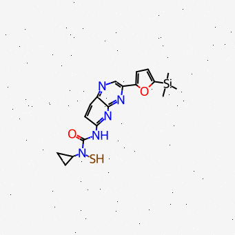 C[Si](C)(C)c1ccc(-c2cnc3ccc(NC(=O)N(S)C4CC4)nc3n2)o1